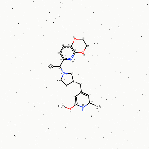 COC1=CC(C[C@@H]2CCN(C(C)c3ccc4c(n3)OCCO4)C2)=CC(C)N1